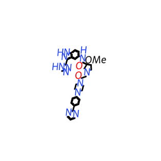 CO[C@@]1(C(=O)Nc2ccc3[nH]nc(-c4nnc[nH]4)c3c2)CCN(CC(=O)N2CCN(c3ccc(-c4ncccn4)cc3)CC2)C1